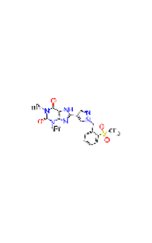 CCCn1c(=O)c2[nH]c(-c3cnn(Cc4ccccc4S(=O)(=O)C(F)(F)F)c3)nc2n(CCC)c1=O